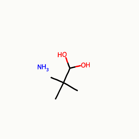 CC(C)(C)C(O)O.N